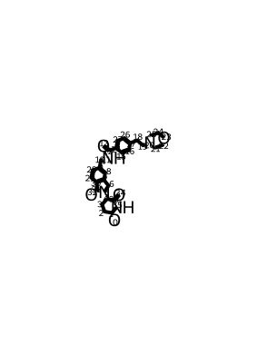 O=C1CCC(N2Cc3cc(CNC(=O)c4ccc(CCN5CCOCC5)cc4)ccc3C2=O)C(=O)N1